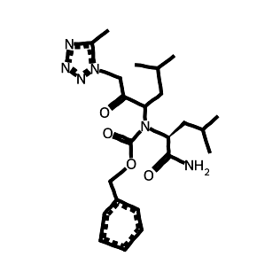 Cc1nnnn1CC(=O)C(CC(C)C)N(C(=O)OCc1ccccc1)[C@@H](CC(C)C)C(N)=O